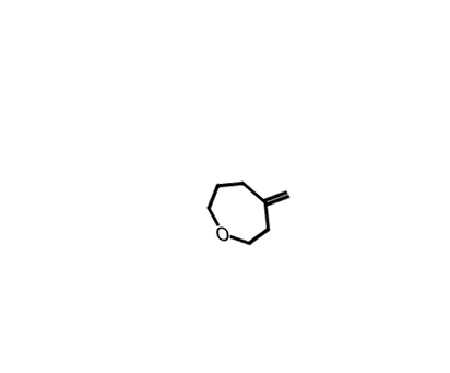 C=C1CCCOCC1